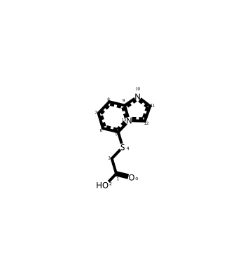 O=C(O)CSc1cccc2nccn12